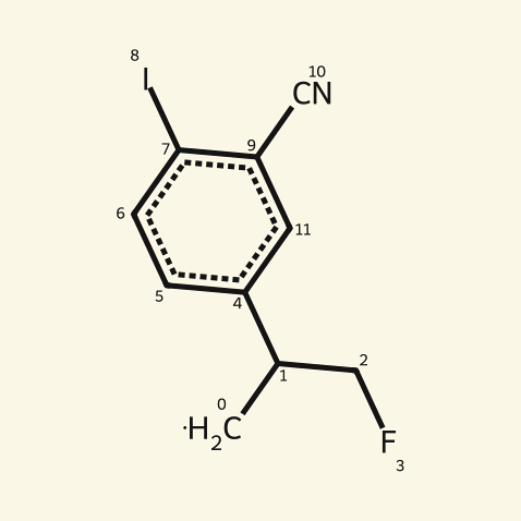 [CH2]C(CF)c1ccc(I)c(C#N)c1